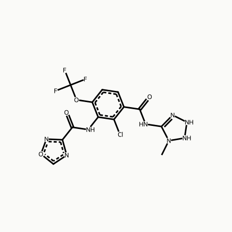 CN1NNN=C1NC(=O)c1ccc(OC(F)(F)F)c(NC(=O)c2ncon2)c1Cl